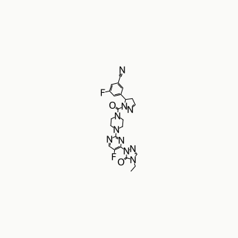 CCn1cnn(-c2nc(N3CCN(C(=O)N4N=CCC4c4cc(F)cc(C#N)c4)CC3)ncc2F)c1=O